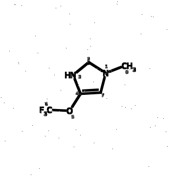 CN1[CH]NC(OC(F)(F)F)=C1